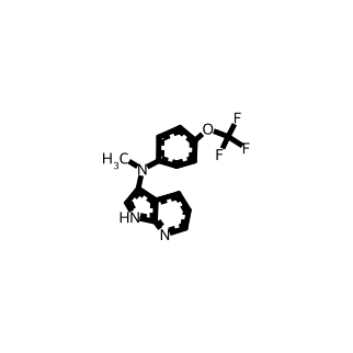 CN(c1ccc(OC(F)(F)F)cc1)c1c[nH]c2ncccc12